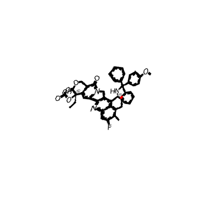 CC[C@@]1(OC(=O)O)C(=O)OCc2c1cc1n(c2=O)Cc2c-1nc1cc(F)c(C)c3c1c2[C@@H](NC(c1ccccc1)(c1ccccc1)c1ccc(OC)cc1)CC3